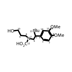 COc1ccc(C(CN(CCCO)C(=O)O)C(C)(C)C)cc1OC